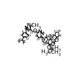 Cc1nnn(-c2ccc(C(F)F)cc2)c1COc1ccc(N2CCN(C(=O)OC(C)(C)C)[C@H](C(=O)N[C@H]3CCCC3=O)C2)nn1